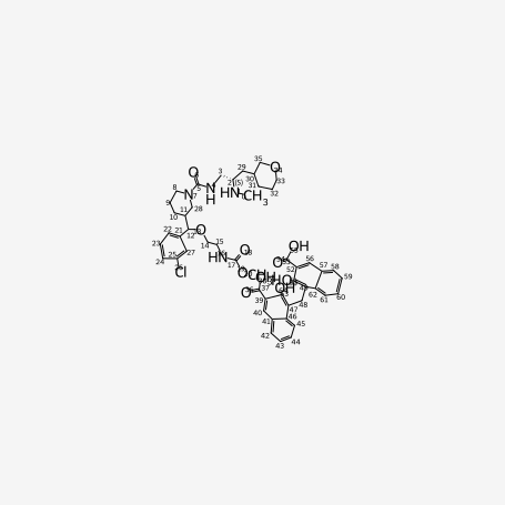 CN[C@H](CNC(=O)N1CCCC(C(OCCNC(=O)OC)c2cccc(Cl)c2)C1)CC1CCCOC1.O=C(O)c1cc2ccccc2c(Cc2c(O)c(C(=O)O)cc3ccccc23)c1O